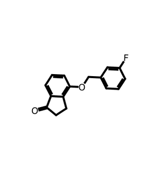 O=C1CCc2c(OCc3cccc(F)c3)cccc21